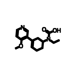 CCN(C(=O)O)C1CCC=C(c2cnccc2OC)C1